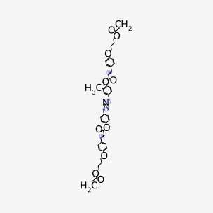 C=CC(=O)OCCCCOc1ccc(/C=C/C(=O)Oc2ccc(/C=N/N=C/c3ccc(OC(=O)/C=C/c4ccc(OCCCCOC(=O)C=C)cc4)c(C)c3)cc2)cc1